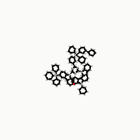 c1ccc(-c2cccc([Si](c3ccccc3)(c3ccccc3)c3cccc(-c4nc(-n5c6ccccc6c6cc([Si](c7ccccc7)(c7ccccc7)c7ccccc7)ccc65)nc(-n5c6ccccc6c6ccc7c(c8ccccc8n7-c7ccccc7)c65)n4)c3)c2)cc1